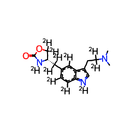 [2H]c1c(C([2H])([2H])[C@@H]2N([2H])C(=O)OC2([2H])[2H])c([2H])c2c(CC([2H])([2H])N(C)C)cn([2H])c2c1[2H]